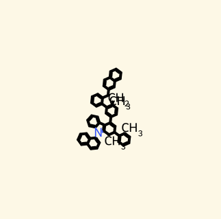 C=C(c1ccc2ccccc2c1)c1ccccc1-c1cc(C2=CC(c3ccccc3C)C(C)c3c2c2ccccc2n3-c2cccc3ccccc23)ccc1C